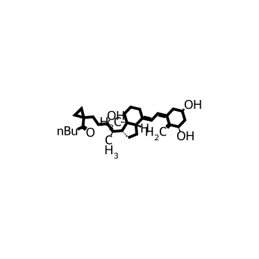 C=C1/C(=C\C=C2/CCC[C@]3(C)[C@@H]([C@H](C)[C@@H](O)CCC4(C(=O)CCCC)CC4)CC[C@@H]23)C[C@@H](O)C[C@@H]1O